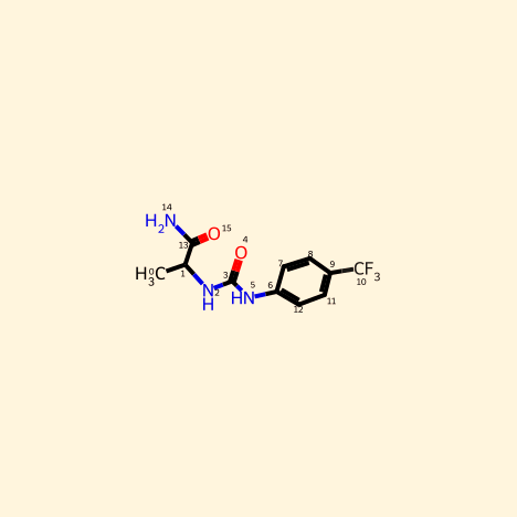 CC(NC(=O)Nc1ccc(C(F)(F)F)cc1)C(N)=O